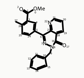 COC(=O)c1cc(-c2nn(Cc3ccccc3)c(=O)c3cccnc23)ccc1C